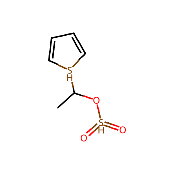 CC(O[SH](=O)=O)[SH]1C=CC=C1